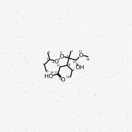 CCC(C)OOC(C)(C(CC)CC(=O)O)[C@@H](O)OC